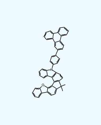 CC1(C)c2ccc3c(oc4ccccc43)c2-c2c1ccc1c2c2ccccc2n1-c1ccc(-c2ccc3c4ccccc4c4ccccc4c3c2)cc1